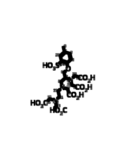 Cc1ccc(OCC(CN(CCN(CC(=O)O)CC(=O)O)CC(=O)O)N(CC(=O)O)CC(=O)O)c(S(=O)(=O)O)c1